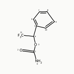 NC(=O)OC(c1ccccc1)C(F)(F)F